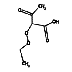 CCOOC(C(C)=O)C(=O)O